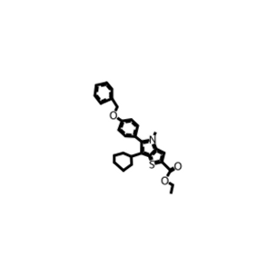 CCOC(=O)c1cc2c(s1)c(C1CCCCC1)c(-c1ccc(OCc3ccccc3)cc1)n2C